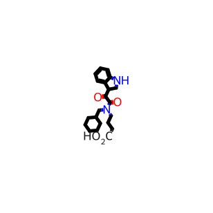 O=C(O)CCCN(CC1CCCCC1)C(=O)C(=O)C1CNc2ccccc21